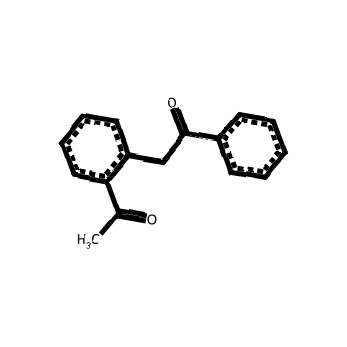 CC(=O)c1ccccc1CC(=O)c1ccccc1